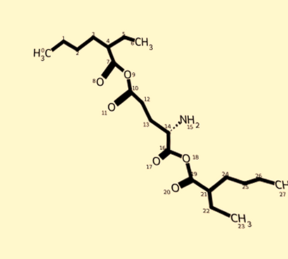 CCCCC(CC)C(=O)OC(=O)CC[C@H](N)C(=O)OC(=O)C(CC)CCCC